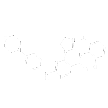 O=C1c2cnc(Nc3ccc(N4CCOCC4)cc3)nc2N2CCN=C2N1c1c(Cl)cccc1Cl